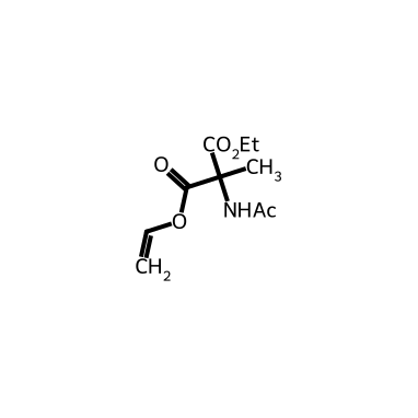 C=COC(=O)C(C)(NC(C)=O)C(=O)OCC